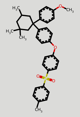 COc1ccc(C2(c3ccc(Oc4ccc(S(=O)(=O)c5ccc(C)cc5)cc4)cc3)CC(C)CC(C)(C)C2)cc1